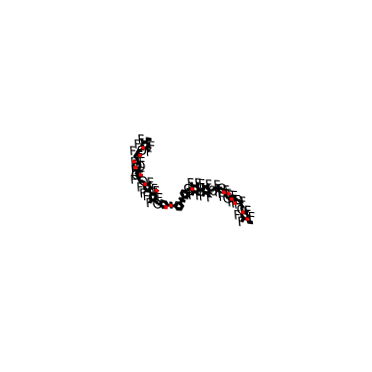 C=Cc1c(F)c(F)c(OCC(F)(F)CC(F)(F)C(F)(F)OC(F)(F)C(F)(F)OC(F)(F)COc2c(F)c(F)c(-c3c(F)c(F)c(OC4C=CC(C(C)(C)c5cccc(C(C)(C)c6ccc(Oc7c(F)c(F)c(-c8c(F)c(F)c(OCC(F)(F)OC(F)(F)C(F)(F)OC(F)(F)C(F)(F)OC(F)(F)COc9c(F)c(F)c(C=C)c(F)c9F)c(F)c8F)c(F)c7F)cc6)c5)=CC4)c(F)c3F)c(F)c2F)c(F)c1F